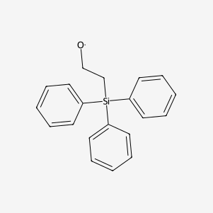 [O]CC[Si](c1ccccc1)(c1ccccc1)c1ccccc1